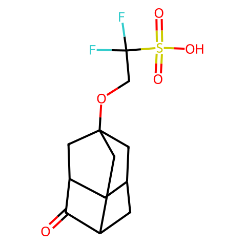 O=C1C2CC3CC1CC(OCC(F)(F)S(=O)(=O)O)(C3)C2